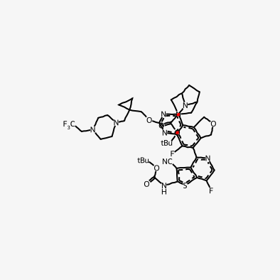 CC(C)(C)OC(=O)Nc1sc2c(F)cnc(-c3c4c(c5c(N6C7CCC6CN(C(=O)OC(C)(C)C)C7)nc(OCC6(CN7CCN(CC(F)(F)F)CC7)CC6)nc5c3F)COC4)c2c1C#N